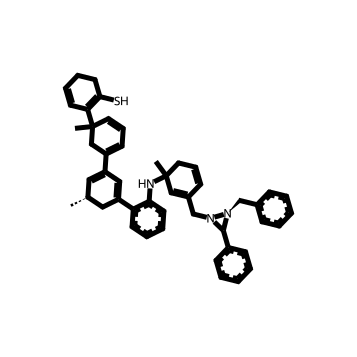 C[C@@H]1C=C(C2=CC=CC(C)(C3=C(S)CCC=C3)C2)C=C(c2ccccc2NC2(C)C=C(CN3C(c4ccccc4)[N@]3Cc3ccccc3)C=CC2)C1